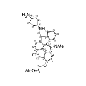 CNC(=O)c1ccc(OCCOC)c(F)c1-c1cc(C(CNC2CCC(N)CC2)c2ccccc2)ccc1Cl